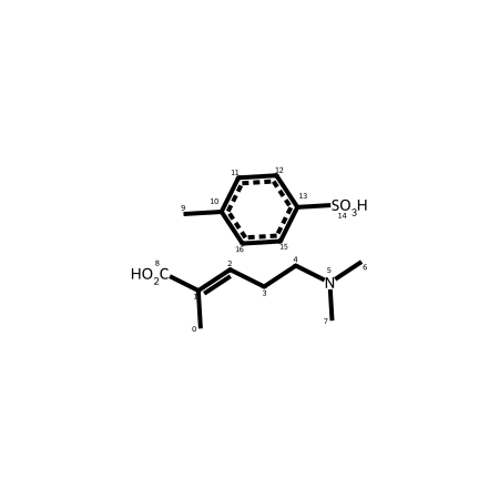 CC(=CCCN(C)C)C(=O)O.Cc1ccc(S(=O)(=O)O)cc1